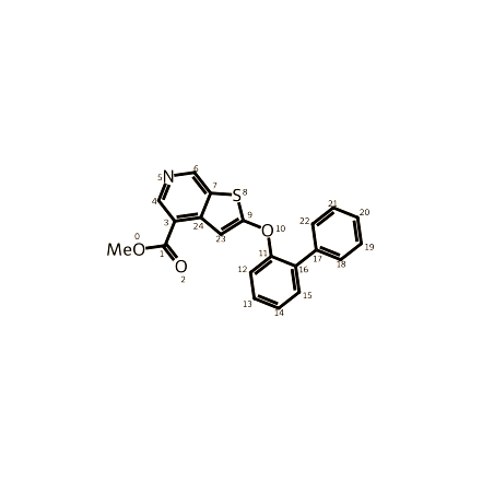 COC(=O)c1cncc2sc(Oc3ccccc3-c3ccccc3)cc12